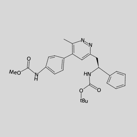 COC(=O)Nc1ccc(-c2cc(C[C@H](NC(=O)OC(C)(C)C)c3ccccc3)nnc2C)cc1